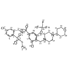 CCS(=O)(=O)c1ccc(Cl)cc1CNC(=O)c1cc(Cl)c(CN2CCN(C3CCOCC3)CC2)c(OC(F)(F)F)c1